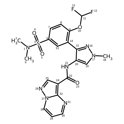 CN(C)S(=O)(=O)c1ccc(OC(F)F)c(-c2nn(C)cc2NC(=O)c2cnn3cccnc23)c1